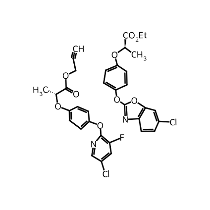 C#CCOC(=O)[C@@H](C)Oc1ccc(Oc2ncc(Cl)cc2F)cc1.CCOC(=O)[C@@H](C)Oc1ccc(Oc2nc3ccc(Cl)cc3o2)cc1